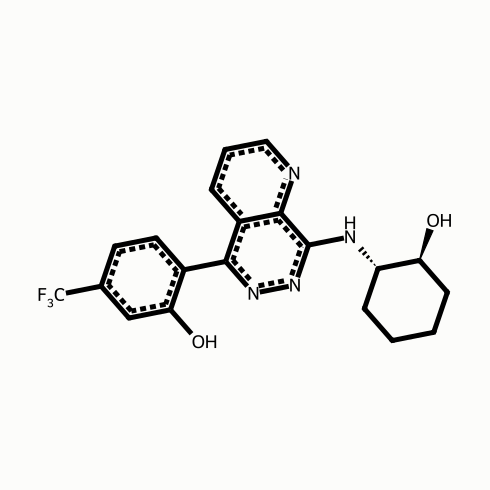 Oc1cc(C(F)(F)F)ccc1-c1nnc(N[C@H]2CCCC[C@@H]2O)c2ncccc12